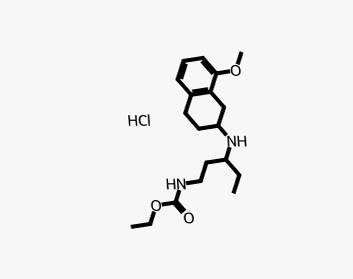 CCOC(=O)NCCC(CC)NC1CCc2cccc(OC)c2C1.Cl